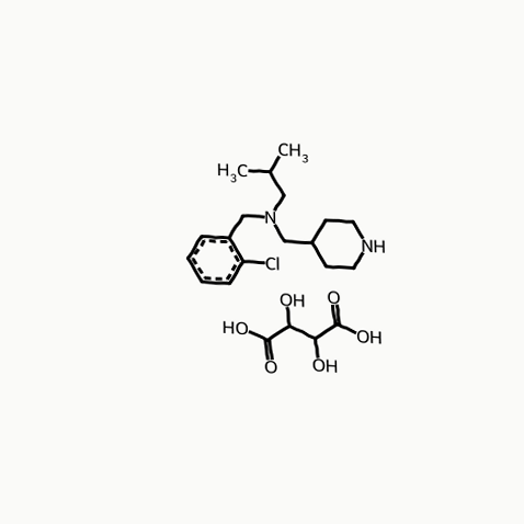 CC(C)CN(Cc1ccccc1Cl)CC1CCNCC1.O=C(O)C(O)C(O)C(=O)O